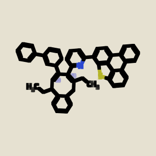 CC/C1=C(c2cccc(-c3ccc4c5ccccc5c5cccc6sc3c4c65)n2)/C(C2C=C(c3ccccc3)C=CC2)=C\C(CC)c2ccccc2C1